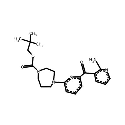 CC(C)(C)COC(=O)N1CCCN(c2cccc(C(=O)c3cccnc3N)n2)CC1